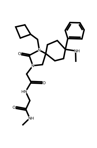 CNC(=O)CNC(=O)CN1CC2(CCC(NC)(c3ccccc3)CC2)N(CC2CCC2)C1=O